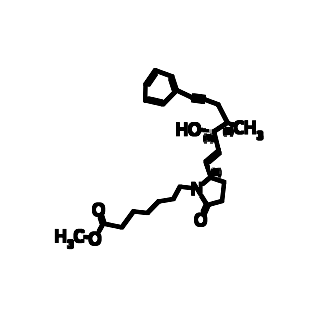 COC(=O)CCCCCCN1C(=O)CC[C@@H]1C=C[C@H](O)[C@H](C)CC#Cc1ccccc1